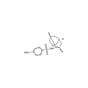 O=Cc1ccc(S(=O)(=O)N[C@]23C[C@H]4C[C@H](C[C@H](C4)C2)C3)cc1